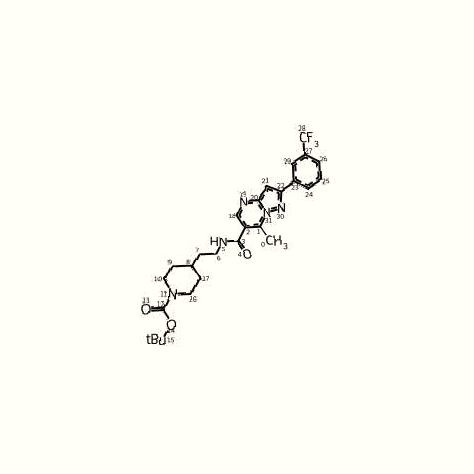 Cc1c(C(=O)NCCC2CCN(C(=O)OC(C)(C)C)CC2)cnc2cc(-c3cccc(C(F)(F)F)c3)nn12